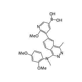 COc1ccc(N(C)c2nnc(C)c3cc(-c4cc(B(O)O)cnc4OC)ccc23)c(OC)c1